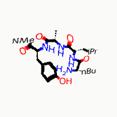 CCCC[C@H](N)C(=O)N[C@@H](CC(C)C)C(=O)N[C@@H](C)C(=O)N[C@@H](Cc1ccc(O)cc1)C(=O)NC